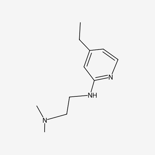 CCc1ccnc(NCCN(C)C)c1